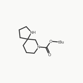 CC(C)(C)OC(=O)N1CCCC2(CCCN2)C1